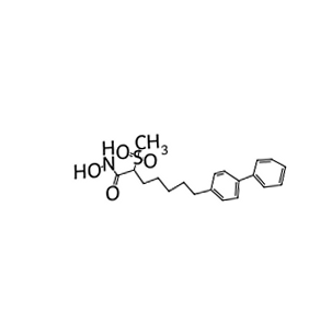 CS(=O)(=O)C(CCCCCc1ccc(-c2ccccc2)cc1)C(=O)NO